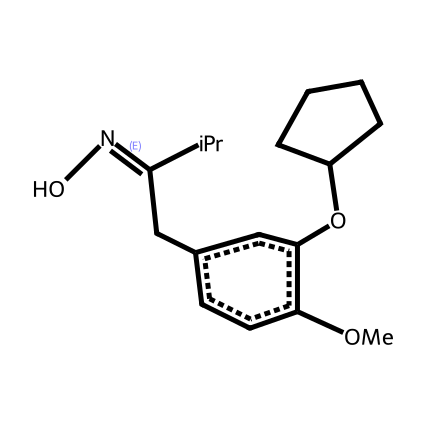 COc1ccc(C/C(=N\O)C(C)C)cc1OC1CCCC1